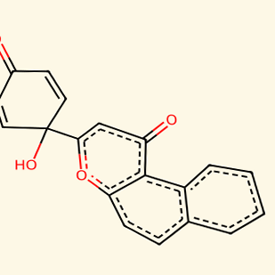 O=C1C=CC(O)(c2cc(=O)c3c(ccc4ccccc43)o2)C=C1